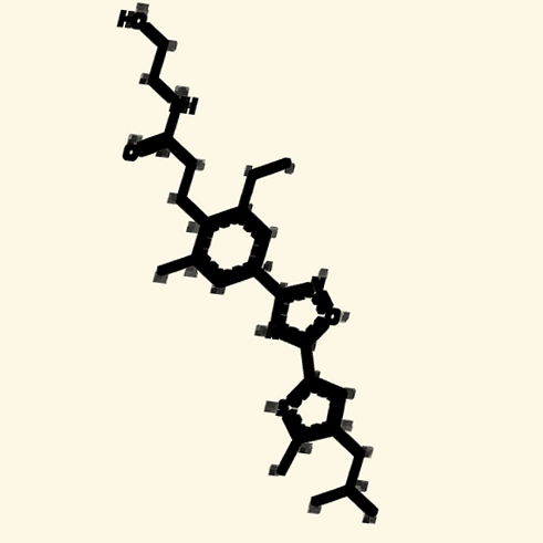 CCc1cc(-c2noc(-c3cc(CC(C)C)c(C)s3)n2)cc(C)c1CCC(=O)NCCO